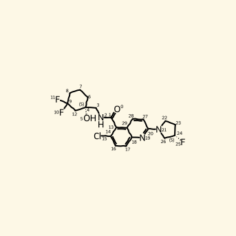 O=C(NC[C@]1(O)CCCC(F)(F)C1)c1c(Cl)ccc2nc(N3CC[C@H](F)C3)ccc12